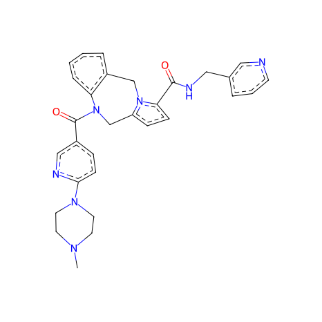 CN1CCN(c2ccc(C(=O)N3Cc4ccc(C(=O)NCc5cccnc5)n4Cc4ccccc43)cn2)CC1